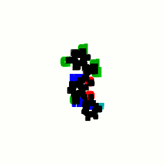 O=C(Nc1cccc(F)n1)c1cc(NC(=O)[C@@H]2[C@@H](c3cc(Cl)cc(Cl)c3)C2(Cl)Cl)ccc1Cl